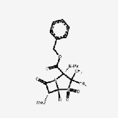 CO[C@@H]1C(=O)N2[C@@H]1S(=O)(=O)C(C)(C)[C@]2(NC(C)=O)C(=O)OCc1ccccc1